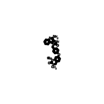 CN(Cc1ccc(Oc2ccc(Cn3c(=O)[nH]c4c(N)nc5ccccc5c43)cc2)cc1)C(=O)OC(C)(C)C